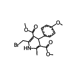 COC(=O)C1=C(C)NC(CBr)=C(C(=O)OC)C1c1ccc(OC)cc1